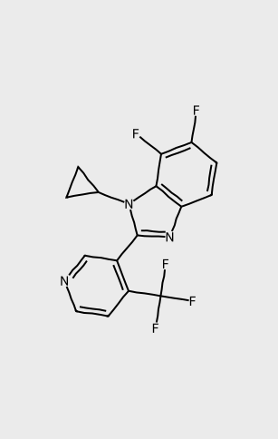 Fc1ccc2nc(-c3cnccc3C(F)(F)F)n(C3CC3)c2c1F